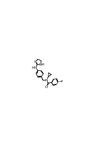 O=C(c1ccc(F)cc1)N(Cc1ccc(NC2=NCCN2)cc1)C1CC1